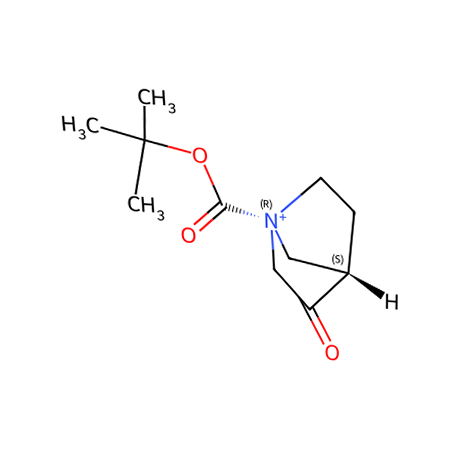 CC(C)(C)OC(=O)[N@+]12CC[C@@H](C1)C(=O)C2